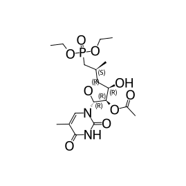 CCOP(=O)(C[C@@H](C)[C@H]1O[C@@H](n2cc(C)c(=O)[nH]c2=O)[C@H](OC(C)=O)[C@@H]1O)OCC